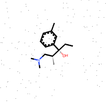 CC[C@](O)(c1cccc(C)c1)[C@H](C)CN(C)C